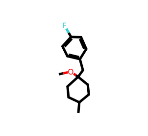 COC1(Cc2ccc(F)cc2)CCC(C)CC1